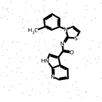 Cc1cccc(-n2ccs/c2=N\C(=O)c2c[nH]c3ncccc23)c1